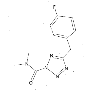 CN(C)C(=O)n1nnc(Cc2ccc(F)cc2)n1